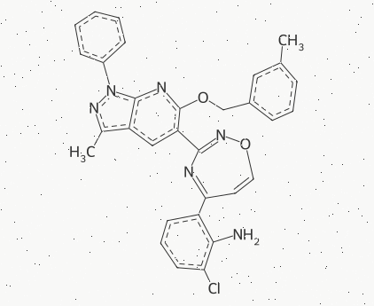 Cc1cccc(COc2nc3c(cc2C2=NOC=CC(c4cccc(Cl)c4N)=N2)c(C)nn3-c2ccccc2)c1